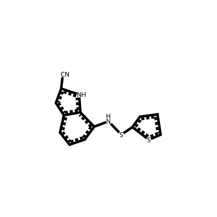 N#Cc1cc2cccc(NSc3cccs3)c2[nH]1